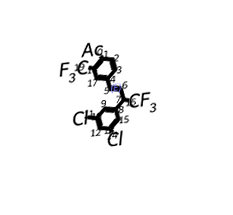 CC(=O)c1ccc(/C=C/C(c2cc(Cl)cc(Cl)c2)C(F)(F)F)cc1C(F)(F)F